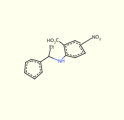 CCC(Nc1ccc([N+](=O)[O-])cc1C(=O)O)c1ccccc1